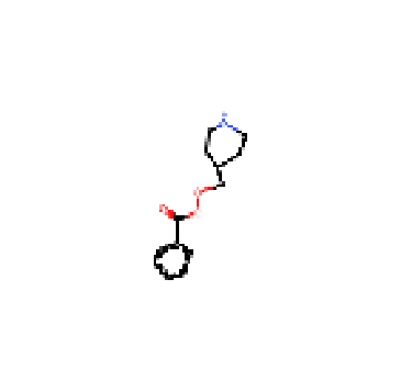 O=C(OOCC1CCNCC1)c1ccccc1